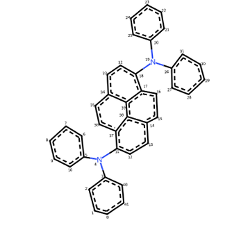 c1ccc(N(c2ccccc2)c2ccc3ccc4c(N(c5ccccc5)c5ccccc5)ccc5ccc2c3c54)cc1